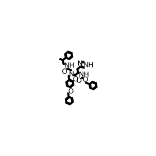 CC(CNC(=O)CN(Cc1ccc(OCc2ccccc2)cc1)C(=O)C(Cc1c[nH]cn1)NC(=O)OCc1ccccc1)c1ccccc1